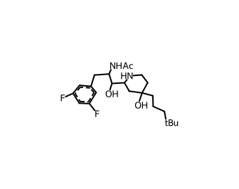 CC(=O)NC(Cc1cc(F)cc(F)c1)C(O)C1CC(O)(CCCC(C)(C)C)CCN1